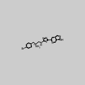 N[C@H](CNc1nnc(-c2cc3cn[nH]c3cn2)s1)Cc1ccc(Br)cc1